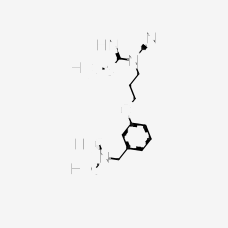 CSC(=N)N(C#N)CCCOc1cccc(CN(C)C)c1